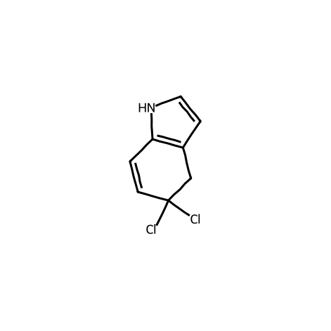 ClC1(Cl)C=Cc2[nH]ccc2C1